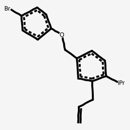 C=CCc1cc(COc2ccc(Br)cc2)ccc1C(C)C